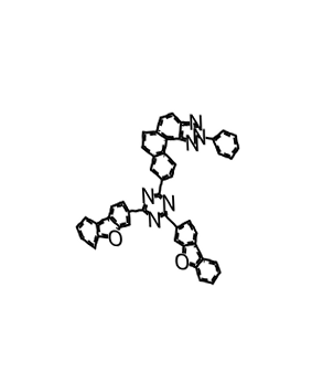 c1ccc(-n2nc3ccc4ccc5cc(-c6nc(-c7ccc8c(c7)oc7ccccc78)nc(-c7ccc8c(c7)oc7ccccc78)n6)ccc5c4c3n2)cc1